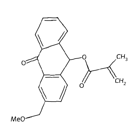 C=C(C)C(=O)OC1c2ccccc2C(=O)c2cc(COC)ccc21